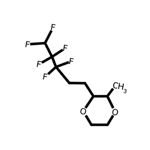 CC1OCCOC1CCC(F)(F)C(F)(F)C(F)F